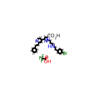 O=C(O)C(F)(F)F.O=C(O)c1cc(-c2ccnc(/C=C/c3ccccc3)c2)nn1CCCNCCc1ccc(Br)cc1